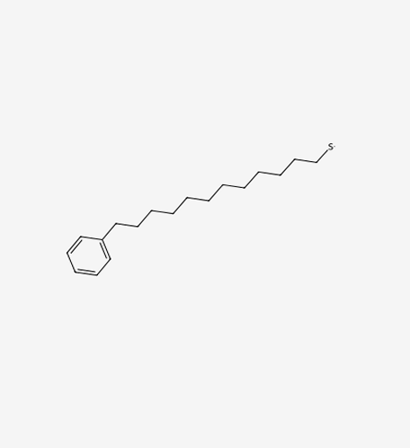 [S]CCCCCCCCCCCCc1ccccc1